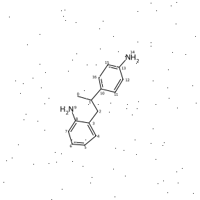 CC(Cc1ccccc1N)c1ccc(N)cc1